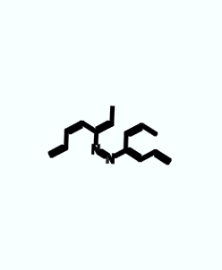 C=C\C=C/C(=C\C)/N=N\C(\C=C/C)=C\C=C